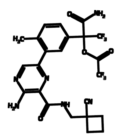 Cc1ccc(C(OC(=O)C(F)(F)F)(C(N)=O)C(F)(F)F)cc1-c1cnc(N)c(C(=O)NCC2(C#N)CCC2)n1